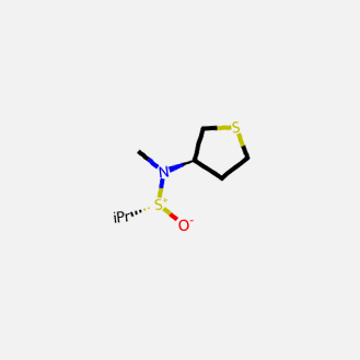 CC(C)[S@@+]([O-])N(C)[C@@H]1CCSC1